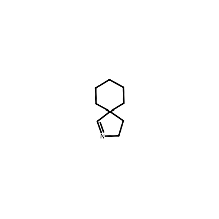 C1=NCCC12CCCCC2